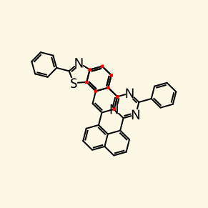 c1ccc(-c2nc(-c3ccccc3)nc(-c3cccc4cccc(-c5ccc6ccc7nc(-c8ccccc8)sc7c6c5)c34)n2)cc1